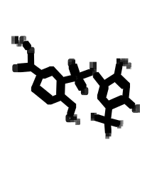 CCc1ccc(C(=O)OC)cc1S(=O)(=O)Nc1cc(C(F)(F)F)c(Cl)cc1N